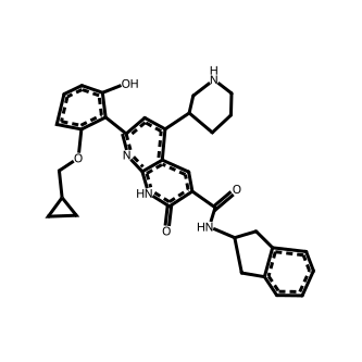 O=C(NC1Cc2ccccc2C1)c1cc2c(C3CCCNC3)cc(-c3c(O)cccc3OCC3CC3)nc2[nH]c1=O